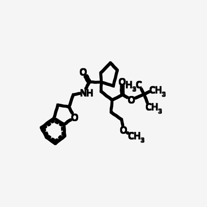 COCCC(CC1(C(=O)NCC2Cc3ccccc3O2)CCCC1)C(=O)OC(C)(C)C